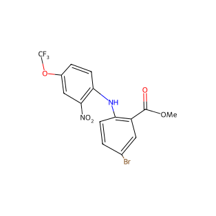 COC(=O)c1cc(Br)ccc1Nc1ccc(OC(F)(F)F)cc1[N+](=O)[O-]